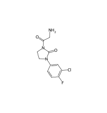 NCC(=O)N1CCN(c2ccc(F)c(Cl)c2)C1=O